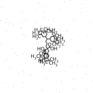 CN1C(C)(C)CC(C(CCCC(Cc2cc(C(C)(C)C)c(O)c(C(C)(C)C)c2)(C(=O)O)C(=O)O)C2CC(C)(C)N(C)C(C)(C)C2)CC1(C)C